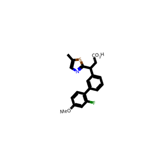 COc1ccc(-c2cccc(C(CC(=O)O)c3ncc(C)s3)c2)c(F)c1